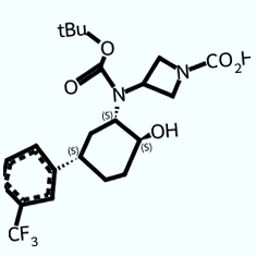 CC(C)(C)OC(=O)N(C1CN(C(=O)O)C1)[C@H]1C[C@@H](c2cccc(C(F)(F)F)c2)CC[C@@H]1O